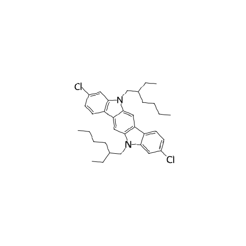 CCCCC(CC)Cn1c2cc(Cl)ccc2c2cc3c(cc21)c1ccc(Cl)cc1n3CC(CC)CCCC